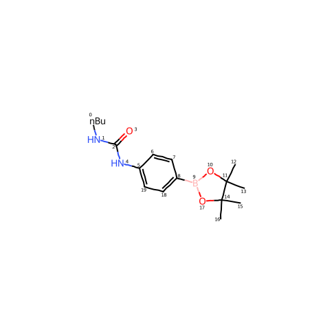 CCCCNC(=O)Nc1ccc(B2OC(C)(C)C(C)(C)O2)cc1